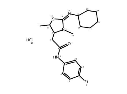 CCc1ccc(NC(=O)CC2C(C)SC(=NC3CCCCC3)N2C)cc1.Cl